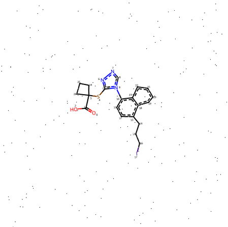 O=C(O)C1(Sc2nncn2-c2ccc(CCCI)c3ccccc23)CCC1